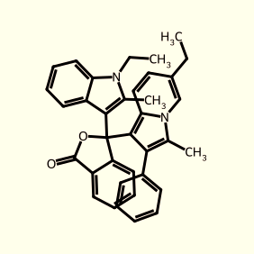 CCc1ccc2c(C3(c4c(C)n(CC)c5ccccc45)OC(=O)c4ccccc43)c(-c3ccccc3)c(C)n2c1